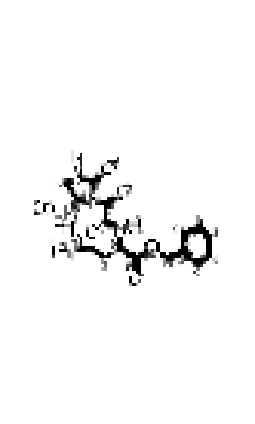 CC(C)CC[C@H](N[C@H](C)C(=O)N1C(=O)NC[C@H]1C(=O)O)C(=O)OCc1ccccc1